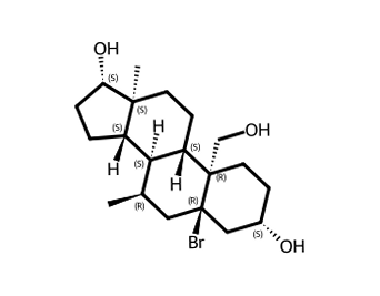 C[C@@H]1C[C@@]2(Br)C[C@@H](O)CC[C@]2(CO)[C@H]2CC[C@]3(C)[C@@H](O)CC[C@H]3[C@H]12